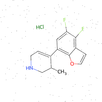 CC1CNCC=C1c1cc(F)c(F)c2ccoc12.Cl